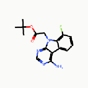 CC(C)(C)OC(=O)Cn1c2ncnc(N)c2c2cccc(F)c21